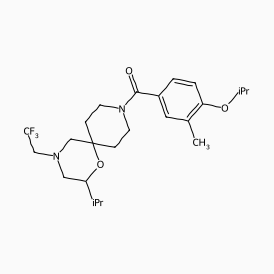 Cc1cc(C(=O)N2CCC3(CC2)CN(CC(F)(F)F)CC(C(C)C)O3)ccc1OC(C)C